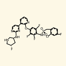 O=S(=O)(Cc1ccc(F)cc1Cl)Nc1c(F)cc(Oc2ncccc2-c2ccnc(N[C@@H]3CNC[C@@H](F)C3)n2)c(F)c1F